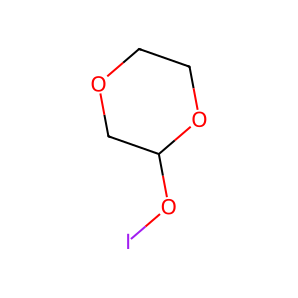 IOC1COCCO1